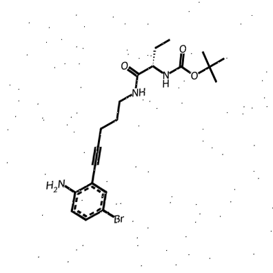 CC[C@H](NC(=O)OC(C)(C)C)C(=O)NCCCC#Cc1cc(Br)ccc1N